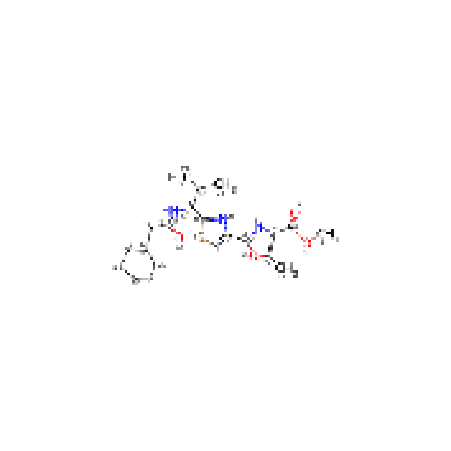 COC(=O)c1nc(-c2csc([C@@H](NC(=O)CC3=CCCCC3)C(C)C)n2)oc1C